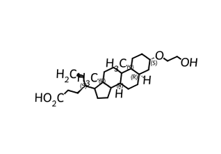 C=C[C@H](CCC(=O)O)C1CCC2[C@@H]3CC[C@@H]4C[C@@H](OCCO)CC[C@]4(C)C3CC[C@@]21C